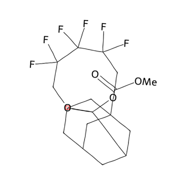 COC(=O)C12CC3CC(C1)C1(OCC(F)(F)C(F)(F)C(F)(F)CO1)C(C3)C2